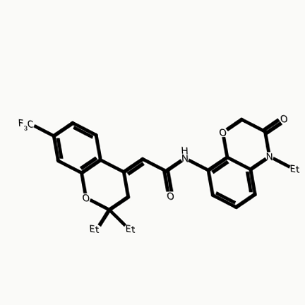 CCN1C(=O)COc2c(NC(=O)/C=C3\CC(CC)(CC)Oc4cc(C(F)(F)F)ccc43)cccc21